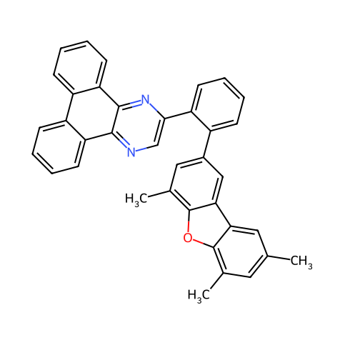 Cc1cc(C)c2oc3c(C)cc(-c4ccccc4-c4cnc5c6ccccc6c6ccccc6c5n4)cc3c2c1